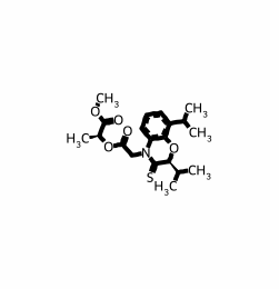 COC(=O)[C@H](C)OC(=O)CN1C(=S)[C@H](C(C)C)Oc2c(C(C)C)cccc21